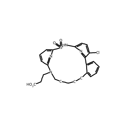 O=C(O)CCN1CCCCCc2ccccc2-c2nc(ccc2Cl)NS(=O)(=O)c2cccc1n2